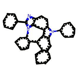 c1ccc(-c2nc3ccc4c5c6c(c7ccccc7cc6n4-c4ccccc4)c4ccccc4n2c35)cc1